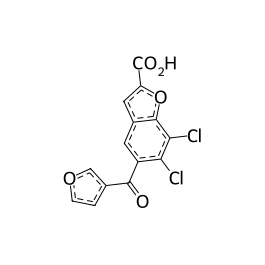 O=C(O)c1cc2cc(C(=O)c3ccoc3)c(Cl)c(Cl)c2o1